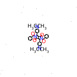 CN(C)c1ccc(C2=C3C(=O)N(C(=O)c4ccccc4)C(c4ccc(N(C)C)cc4)=C3C(=O)N2C(=O)c2ccccc2)cc1